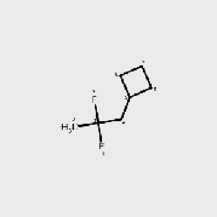 [CH2]C(F)(F)CC1CCC1